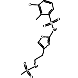 Cc1c(Cl)cccc1S(=O)(=O)Nc1nc(CCNS(C)(=O)=O)cs1